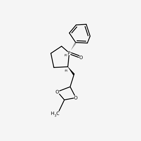 CC1OC(C[C@H]2CCC[P@]2(=O)c2ccccc2)O1